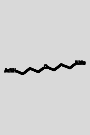 CNCCCOCCCNC(C)=O